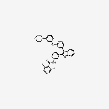 O=C(Nc1cccc(-c2nc3ccccn3c2-c2ccnc(Nc3cccc(N4CCOCC4)c3)n2)c1)c1c(F)cccc1F